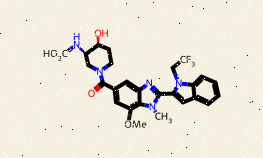 COc1cc(C(=O)N2CC[C@H](O)[C@H](NC(=O)O)C2)cc2nc(-c3cc4ccccc4n3CC(F)(F)F)n(C)c12